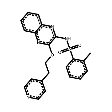 Cc1ccccc1S(=O)(=O)Nc1nc2ccccc2nc1OCCc1ccncc1